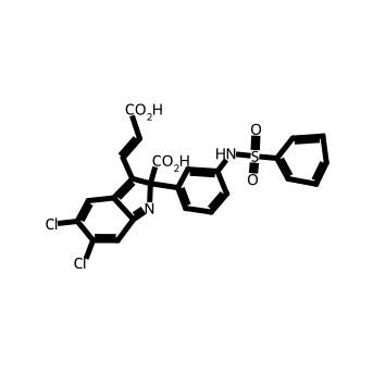 O=C(O)C=CC1=c2cc(Cl)c(Cl)cc2=NC1(C(=O)O)c1cccc(NS(=O)(=O)c2ccccc2)c1